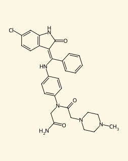 CN1CCN(CC(=O)N(CC(N)=O)c2ccc(NC(=C3C(=O)Nc4cc(Cl)ccc43)c3ccccc3)cc2)CC1